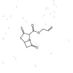 C=CCOC(=O)C1C(=S)SC2CC(=O)N21